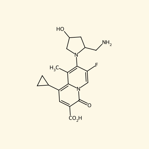 Cc1c(N2CC(O)CC2CN)c(F)cn2c(=O)c(C(=O)O)cc(C3CC3)c12